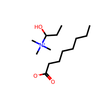 CCC(O)[N+](C)(C)C.CCCCCCCC(=O)[O-]